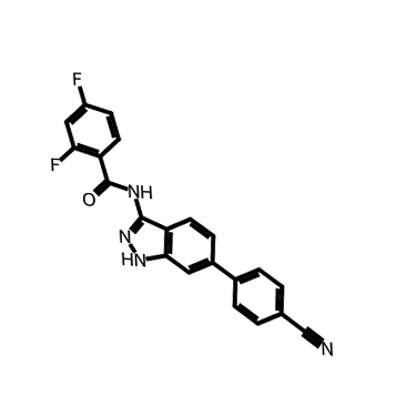 N#Cc1ccc(-c2ccc3c(NC(=O)c4ccc(F)cc4F)n[nH]c3c2)cc1